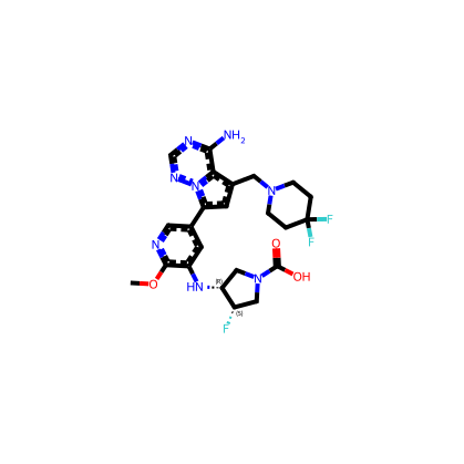 COc1ncc(-c2cc(CN3CCC(F)(F)CC3)c3c(N)ncnn23)cc1N[C@@H]1CN(C(=O)O)C[C@@H]1F